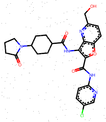 O=C(Nc1ccc(Cl)cn1)c1oc2ccc(CO)nc2c1NC(=O)C1CCC(N2CCCC2=O)CC1